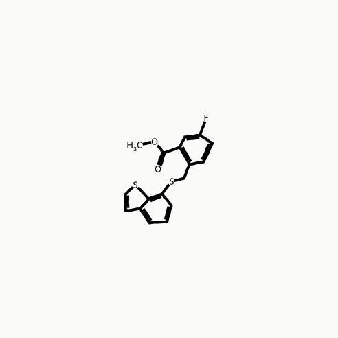 COC(=O)c1cc(F)ccc1CSc1cccc2ccsc12